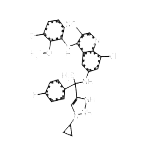 BC(Nc1cc(Cl)c2ncc(C#N)c(Nc3cccc(Cl)c3OC(F)(F)F)c2c1)(C1=CN(C2CC2)NN1)c1ccc(F)cc1